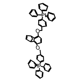 C1=CC2CC1c1c(OCc3ccc([PH](c4ccccc4)(c4ccccc4)c4ccccc4)cc3)ccc(OCc3ccc([PH](c4ccccc4)(c4ccccc4)c4ccccc4)cc3)c12